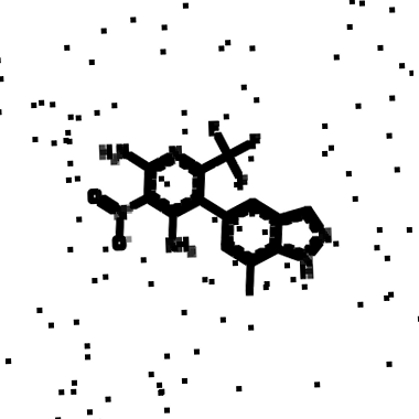 Cc1cc(-c2c(C(F)(F)F)nc(N)c([N+](=O)[O-])c2N)cc2cn[nH]c12